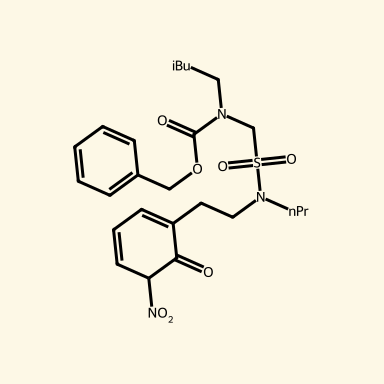 CCCN(CCC1=CC=CC([N+](=O)[O-])C1=O)S(=O)(=O)CN(CC(C)CC)C(=O)OCc1ccccc1